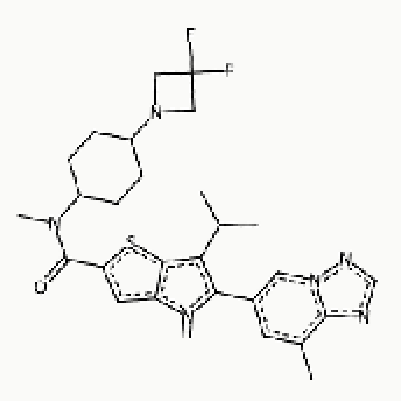 Cc1cc(-c2[nH]c3cc(C(=O)N(C)C4CCC(N5CC(F)(F)C5)CC4)sc3c2C(C)C)cn2ncnc12